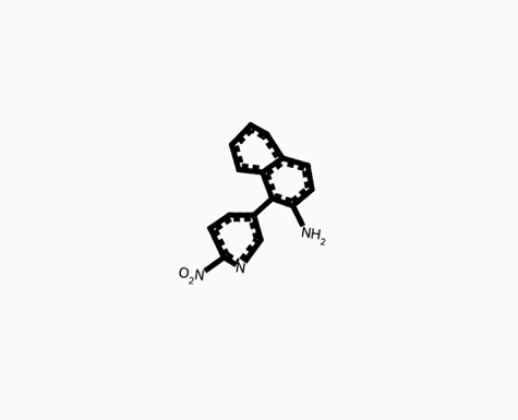 Nc1ccc2ccccc2c1-c1ccc([N+](=O)[O-])nc1